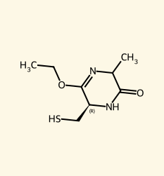 CCOC1=NC(C)C(=O)N[C@H]1CS